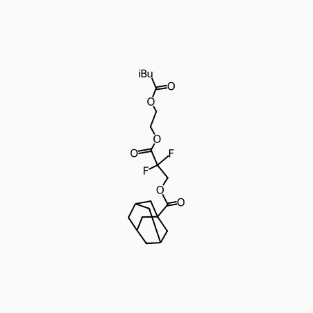 CCC(C)C(=O)OCCOC(=O)C(F)(F)COC(=O)C12CC3CC(CC(C3)C1)C2